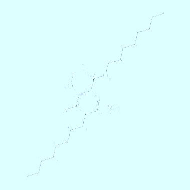 CCCCCCCCOC(=O)c1ccc(CCCCCCCC)c(C)c1OC.N